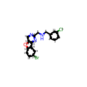 Clc1cccc(CNCc2ncc3oc4ccc(Br)cc4c3n2)c1